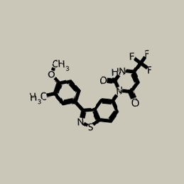 COc1ccc(-c2nsc3ccc(-n4c(=O)cc(C(F)(F)F)[nH]c4=O)cc23)cc1C